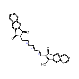 O=C1C(/C=C/C=C/C=C/CC2C(=O)c3cc4ccccc4cc3C2=O)=C(O)c2cc3ccccc3cc21